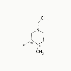 CCN1CC[C@H](C)[C@H](F)C1